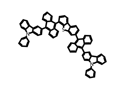 c1ccc(-n2c3ccccc3c3cc(-c4c5ccccc5c(-c5ccc6c(c5)sc5c(-c7c8ccccc8c(-c8ccc9c(c8)c8ccccc8n9-c8ccccc8)c8ccccc78)cccc56)c5ccccc45)ccc32)cc1